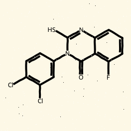 O=c1c2c(F)cccc2nc(S)n1-c1ccc(Cl)c(Cl)c1